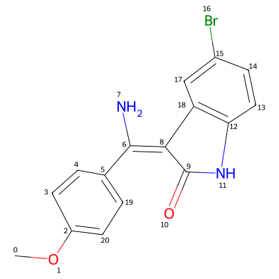 COc1ccc(C(N)=C2C(=O)Nc3ccc(Br)cc32)cc1